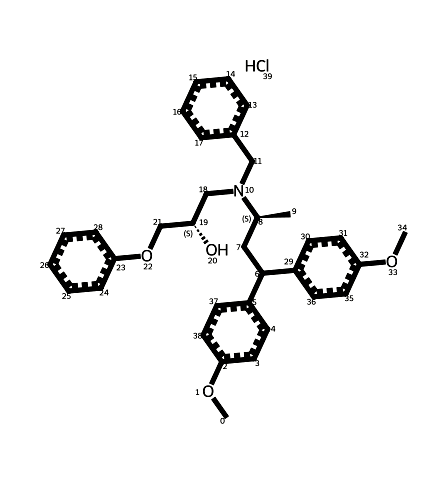 COc1ccc(C(C[C@H](C)N(Cc2ccccc2)C[C@H](O)COc2ccccc2)c2ccc(OC)cc2)cc1.Cl